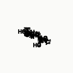 CCC(CC)NC(=O)c1cc(-c2cccc(-c3ncc(C(=O)N[C@H](C(=O)O)C(C)C)o3)c2)nn1CCO